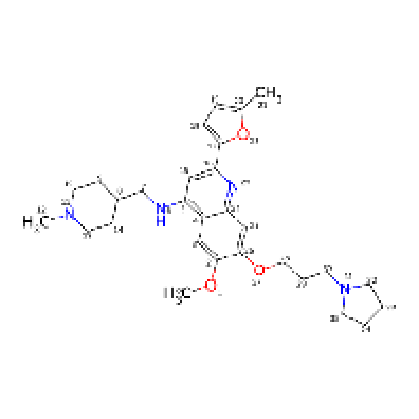 COc1cc2c(NCC3CCN(C)CC3)cc(-c3ccc(C)o3)nc2cc1OCCCN1CCCC1